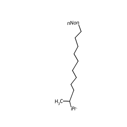 CCCCCCCCCCCCCCCCCCC(C)[C](C)C